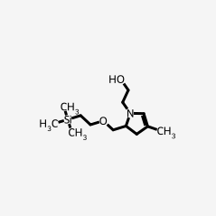 CC1=CN(CCO)C(COCC[Si](C)(C)C)C1